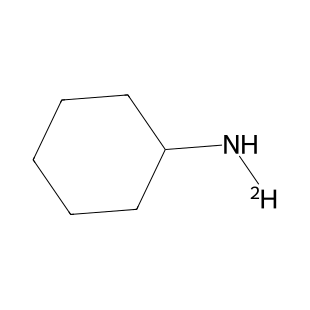 [2H]NC1CCCCC1